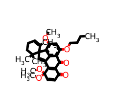 CCCCOc1cc(OC)c2c3c1C(=O)C1=C(C3=CC23C(C)=CCCC3(C)C)C(OC)(OC)C=CC1=O